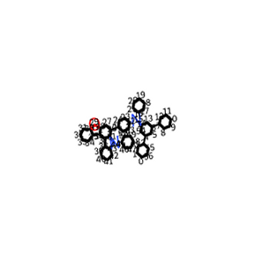 c1ccc(-c2cc(-c3ccccc3)cc(N(c3ccccc3)c3ccc(-c4cc5oc6ccccc6c5c5c6ccccc6n(-c6ccccc6)c45)cc3)c2)cc1